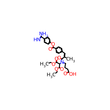 CCOC(=O)C(C(=O)OCC)N(CCCC(=O)O)C(=O)C(C)=Cc1ccc(C(=O)Oc2ccc(C(=N)N)cc2)cc1